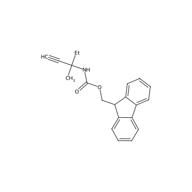 C#CC(C)(CC)NC(=O)OCC1c2ccccc2-c2ccccc21